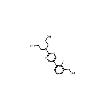 OCCN(CCO)c1ncc(-c2cccc(CO)c2F)cn1